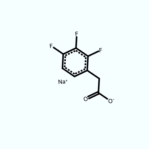 O=C([O-])Cc1ccc(F)c(F)c1F.[Na+]